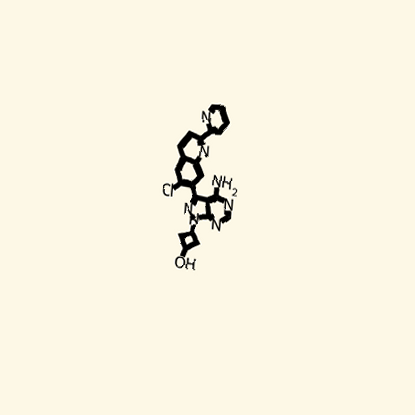 Nc1ncnc2c1c(-c1cc3nc(-c4ccccn4)ccc3cc1Cl)nn2C1CC(O)C1